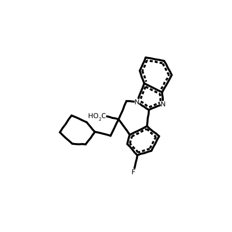 O=C(O)C1(CC2CCCCC2)Cn2c(nc3ccccc32)-c2ccc(F)cc21